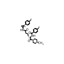 CN1CCN(C(=O)[C@H](CCCC(=O)NC2C[C@H]2c2ccc(F)cc2)NC(=O)c2ccc(F)cc2)CC1